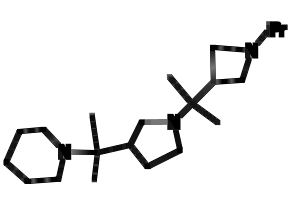 CC(C)N1CC(C(C)(C)N2CCC(C(C)(C)N3CCCCC3)C2)C1